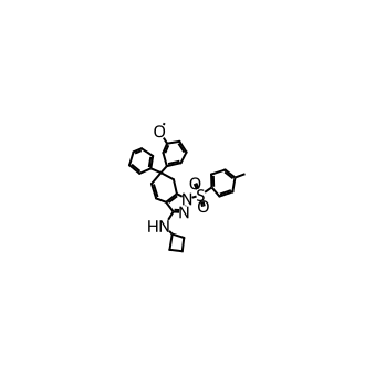 COc1cccc(C2(c3ccccc3)C=Cc3c(NC4CCC4)nn(S(=O)(=O)c4ccc(C)cc4)c3C2)c1